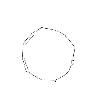 [CH]1CC=CC=CCCCCCC1